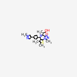 Cc1sc2c(c1C)C(c1ccc(-c3cnn(C)c3)cc1)=N[C@@H](C(C)C(=O)O)c1nnc(C)n1-2